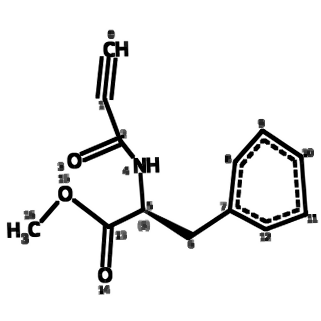 C#CC(=O)N[C@@H](Cc1ccccc1)C(=O)OC